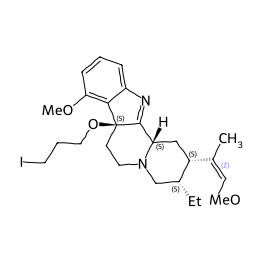 CC[C@@H]1CN2CC[C@@]3(OCCCI)C(=Nc4cccc(OC)c43)[C@@H]2C[C@@H]1/C(C)=C\OC